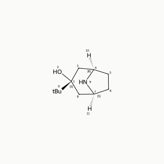 CC(C)(C)[C@@]1(O)C[C@H]2CC[C@@H](C1)N2